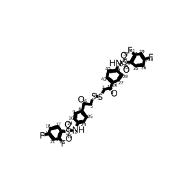 O=C(CSSCC(=O)c1ccc(NS(=O)(=O)c2ccc(F)cc2F)cc1)c1ccc(NS(=O)(=O)c2ccc(F)cc2F)cc1